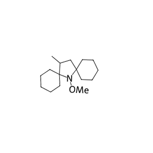 CON1C2(CCCCC2)CC(C)C12CCCCC2